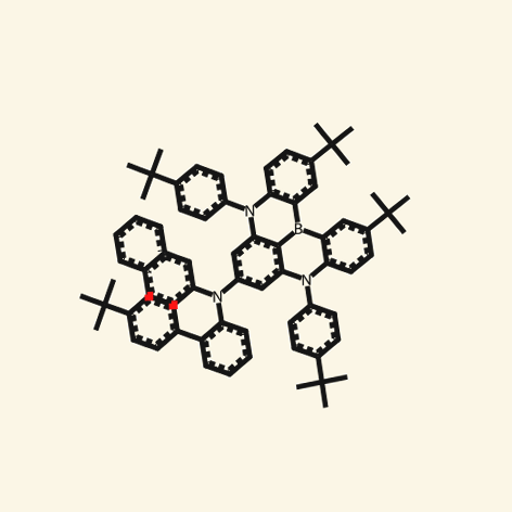 CC(C)(C)c1ccc(-c2ccccc2N(c2cc3c4c(c2)N(c2ccc(C(C)(C)C)cc2)c2ccc(C(C)(C)C)cc2B4c2cc(C(C)(C)C)ccc2N3c2ccc(C(C)(C)C)cc2)c2ccc3ccccc3c2)cc1